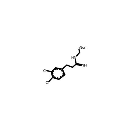 CCCCCCCCCCNC(=N)CCc1ccc(Cl)c(Cl)c1